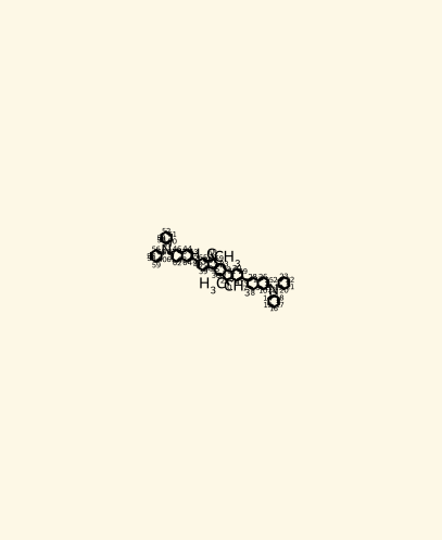 CC1(C)c2cc(-c3ccc4cc(N(c5ccccc5)c5ccccc5)ccc4c3)ccc2-c2cc3c(cc21)-c1ccc(-c2ccc4cc(N(c5ccccc5)c5ccccc5)ccc4c2)cc1C3(C)C